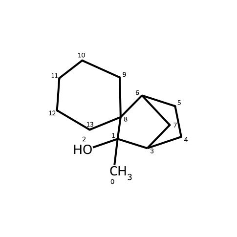 CC1(O)C2CCC(C2)C12CCCCC2